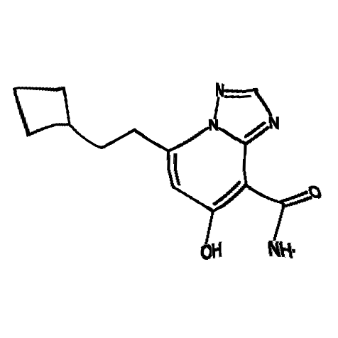 [NH]C(=O)c1c(O)cc(CCC2CCC2)n2ncnc12